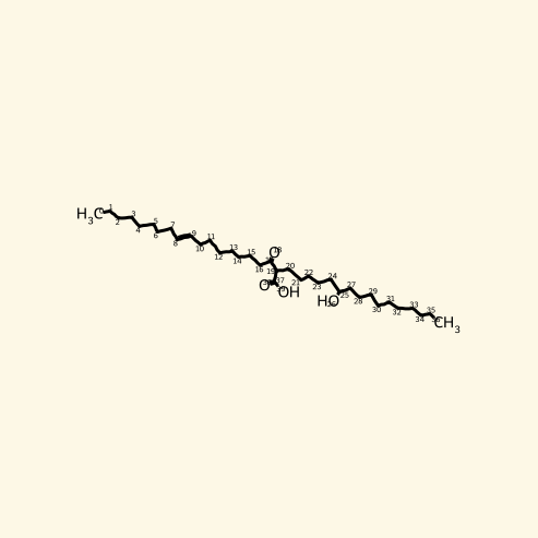 CCCCCCCCC=CCCCCCCCC(=O)C(CCCCCC(O)CCCCCCCCCC)C(=O)O